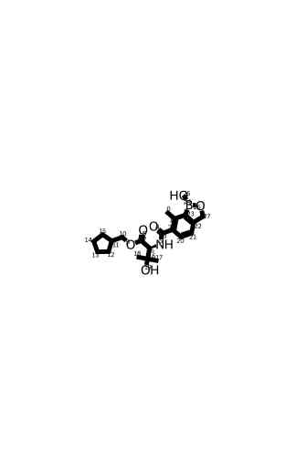 Cc1c(C(=O)N[C@H](C(=O)OCC2CCCC2)C(C)(C)O)ccc2c1B(O)OC2